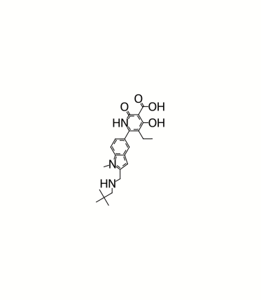 CCc1c(-c2ccc3c(c2)cc(CNCC(C)(C)C)n3C)[nH]c(=O)c(C(=O)O)c1O